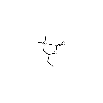 CCC(C[Si](C)(C)C)O[C]=O